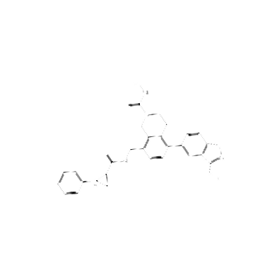 Cc1noc2ccc(-c3ccc(CNC(=O)C4C[C@H]4c4ccccc4)c4c3CCN(C(=O)NC(C)(C)C)C4)cc12